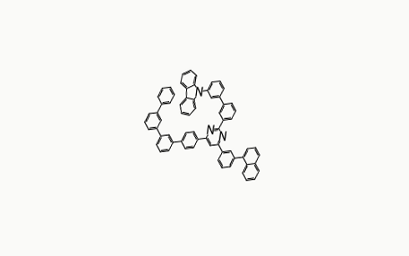 c1ccc(-c2cccc(-c3cccc(-c4ccc(-c5cc(-c6cccc(-c7cccc8ccccc78)c6)nc(-c6cccc(-c7cccc(-n8c9ccccc9c9ccccc98)c7)c6)n5)cc4)c3)c2)cc1